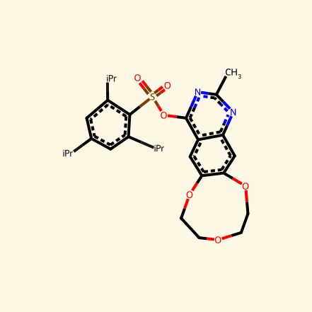 Cc1nc(OS(=O)(=O)c2c(C(C)C)cc(C(C)C)cc2C(C)C)c2cc3c(cc2n1)OCCOCCO3